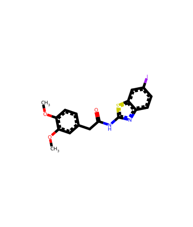 COc1ccc(CC(=O)Nc2nc3ccc(I)cc3s2)cc1OC